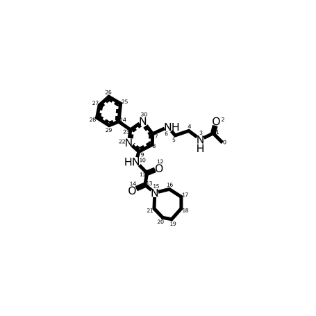 CC(=O)NCCNc1cc(NC(=O)C(=O)N2CCCCCC2)nc(-c2ccccc2)n1